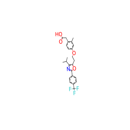 Cc1cc(OCCc2oc(-c3ccc(C(F)(F)F)cc3)nc2C(C)C)ccc1CC(=O)O